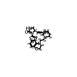 CC#C[C@@H]1CNC(=O)N1c1nc2c3c(ccc2s1)OCCN3CCN1CCCCC1